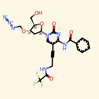 [N-]=[N+]=NCO[C@H]1C[C@H](n2cc(C#CCNC(=O)C(F)(F)F)c(NC(=O)c3ccccc3)nc2=O)O[C@@H]1CO